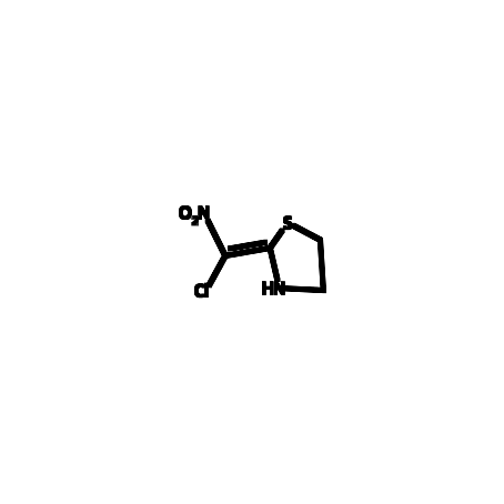 O=[N+]([O-])C(Cl)=C1NCCS1